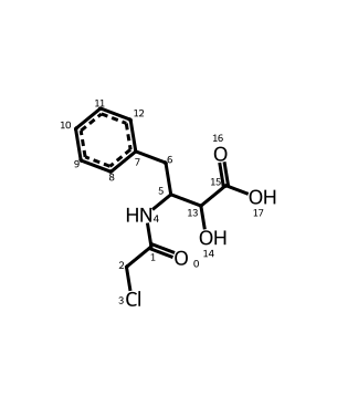 O=C(CCl)NC(Cc1ccccc1)C(O)C(=O)O